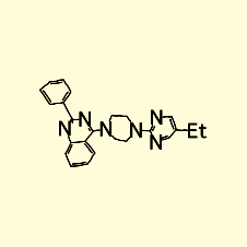 CCc1cnc(N2CCN(c3nc(-c4ccccc4)nc4ccccc34)CC2)nc1